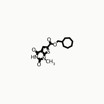 Cn1c(=O)[nH]c(=O)c2cc(C(=O)OCC3CCCCCC3)sc21